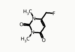 Cn1c(CF)cc(=O)n(C)c1=O